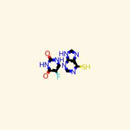 O=c1[nH]cc(F)c(=O)[nH]1.Sc1ncnc2[nH]cnc12